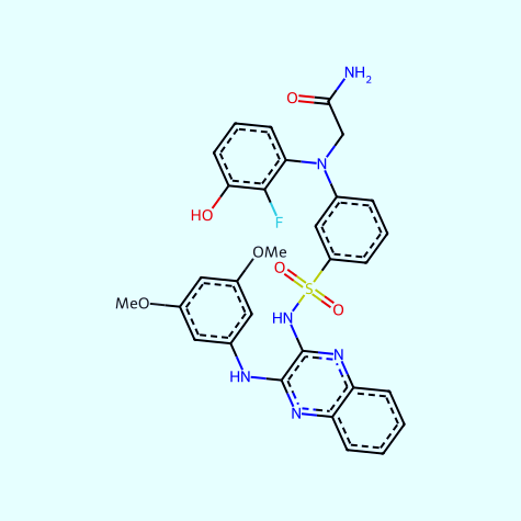 COc1cc(Nc2nc3ccccc3nc2NS(=O)(=O)c2cccc(N(CC(N)=O)c3cccc(O)c3F)c2)cc(OC)c1